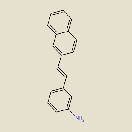 Nc1cccc(/C=C/c2ccc3ccccc3c2)c1